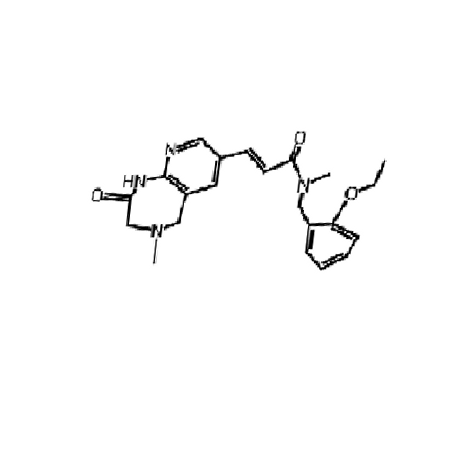 CCOc1ccccc1CN(C)C(=O)C=Cc1cnc2c(c1)CN(C)CC(=O)N2